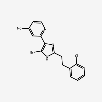 N#Cc1ccnc(-c2nc(CCc3ccccc3Cl)[nH]c2Br)c1